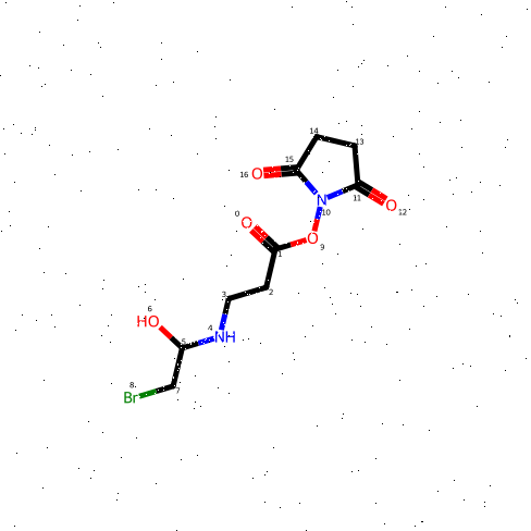 O=C(CCNC(O)CBr)ON1C(=O)CCC1=O